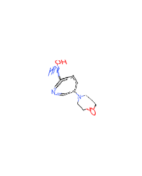 ONc1ccc(N2CCOCC2)cn1